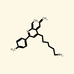 C=C/C=c1/c(CCCCCCN)cc(-c2ccc(C)cc2)n/c1=C/C